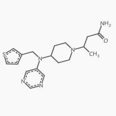 CC(CC(N)=O)N1CCC(N(Cc2ccsc2)c2cncnc2)CC1